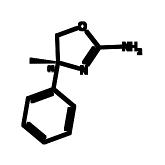 C[C@]1(c2ccccc2)COC(N)=N1